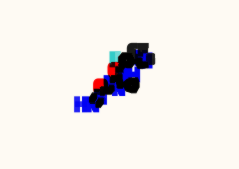 Cn1ccc(-c2cc(C(=O)Nc3cnc(CC(=O)N4CCNCC4)nc3-c3ccccc3)c(F)cc2C(F)(F)F)n1